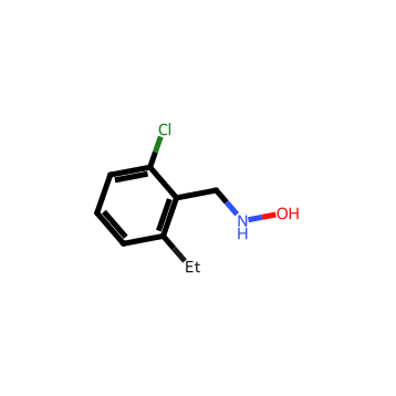 CCc1cccc(Cl)c1CNO